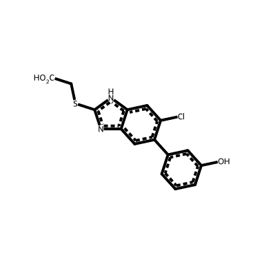 O=C(O)CSc1nc2cc(-c3cccc(O)c3)c(Cl)cc2[nH]1